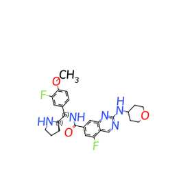 COc1ccc([C@H](NC(=O)c2cc(F)c3cnc(NC4CCOCC4)nc3c2)[C@H]2CCCN2)cc1F